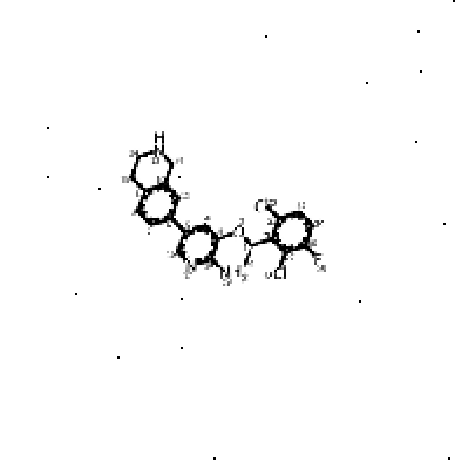 C[C@@H](Oc1cc(-c2ccc3c(c2)CNCC3)cnc1N)c1c(Cl)ccc(F)c1Cl